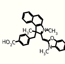 CN1/C(=C/C2=[N+](C)c3ccc4ccccc4c3C2(C)Cc2ccc(C(=O)O)cc2)Oc2ccccc21